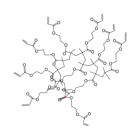 C=CC(=O)OCCOC(=O)C(C)(C)CC(C)(CC(C)(CC(C)(CC(C)(CC(C)(CC(C)(CC(C)(CC(C)(CC(C)(C)C(=O)OCCOC(=O)C=C)C(=O)OCCOC(=O)C=C)C(=O)OCCOC(=O)C=C)C(=O)OCCOC(=O)C=C)C(=O)OCCOC(=O)C=C)C(=O)OCCOC(=O)C=C)C(=O)OCCOC(=O)C=C)C(=O)OCCOC(=O)C=C)C(=O)OCCOC(=O)C=C